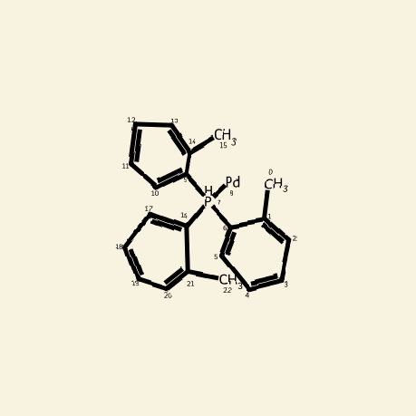 Cc1ccccc1[PH]([Pd])(c1ccccc1C)c1ccccc1C